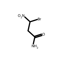 NC(=O)CC(Br)[N+](=O)[O-]